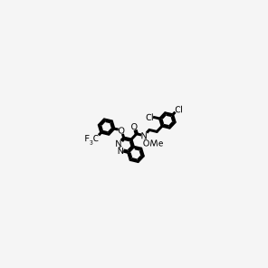 CON(CCc1ccc(Cl)cc1Cl)C(=O)c1c(Oc2cccc(C(F)(F)F)c2)nnc2ccccc12